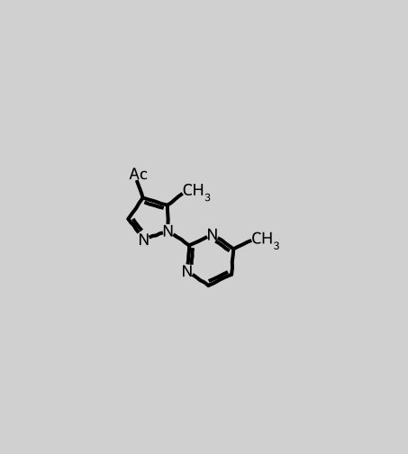 CC(=O)c1cnn(-c2nccc(C)n2)c1C